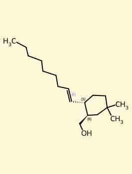 CCCCCCC/C=C/[C@@H]1CCC(C)(C)C[C@H]1CO